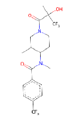 CC1CN(C(=O)C(C)(O)C(F)(F)F)CCC1N(C)C(=O)c1ccc(C(F)(F)F)cc1